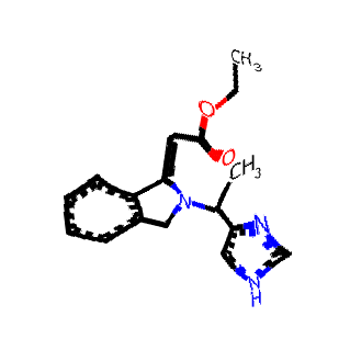 CCOC(=O)/C=C1/c2ccccc2CN1C(C)c1c[nH]cn1